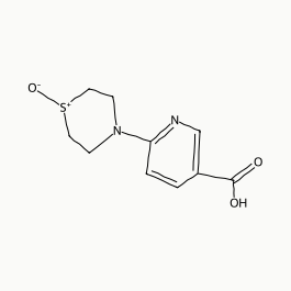 O=C(O)c1ccc(N2CC[S+]([O-])CC2)nc1